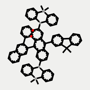 CC1(C)c2ccccc2-c2ccc(-c3c4cc(N5c6ccccc6[Si](C)(C)c6ccccc65)ccc4c(-c4cc5ccccc5cc4-c4ccccc4)c4cc(N5c6ccccc6[Si](C)(C)c6ccccc65)ccc34)cc21